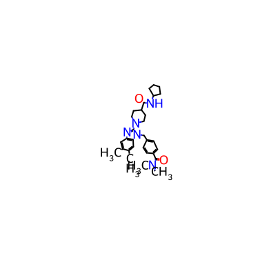 Cc1cc2nc(N3CCC(C(=O)NC4CCCC4)CC3)n(Cc3ccc(C(=O)N(C)C)cc3)c2cc1C